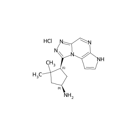 CC1(C)C[C@H](N)C[C@@H]1c1nnc2cnc3[nH]ccc3n12.Cl